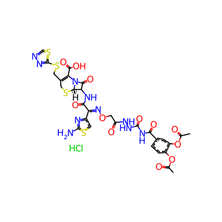 CC(=O)Oc1ccc(C(=O)NC(=O)NNC(=O)CON=C(C(=O)NC2C(=O)N3C(C(=O)O)=C(CSc4nncs4)CS[C@@H]23)c2csc(N)n2)cc1OC(C)=O.Cl